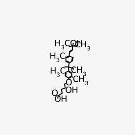 CCC(O)(/C=C/c1ccc(C(CC)(CC)c2ccc(OCC(O)CCC(=O)O)c(C)c2)cc1C)CC